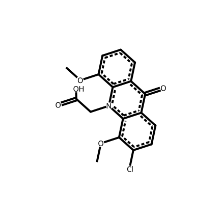 COc1cccc2c(=O)c3ccc(Cl)c(OC)c3n(CC(=O)O)c12